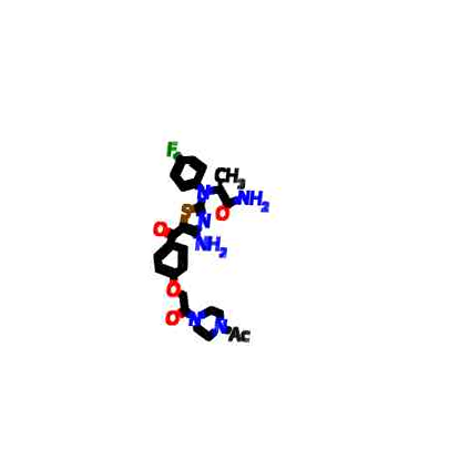 CC(=O)N1CCN(C(=O)COc2ccc(C(=O)c3sc(N(c4ccc(F)cc4)[C@H](C)C(N)=O)nc3N)cc2)CC1